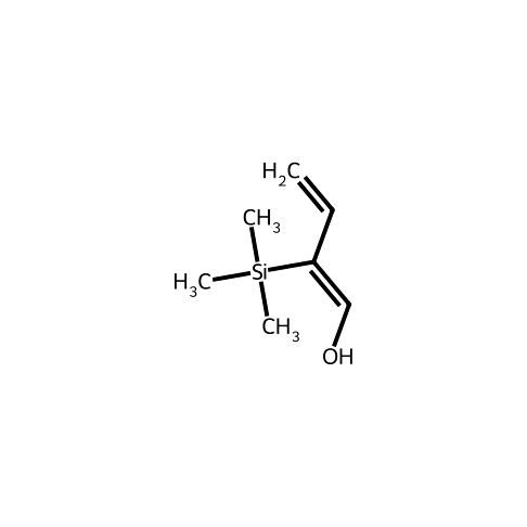 C=CC(=CO)[Si](C)(C)C